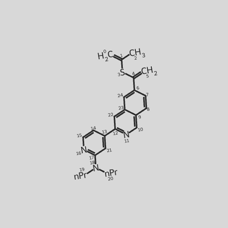 C=C(C)SC(=C)c1ccc2cnc(-c3ccnc(N(CCC)CCC)c3)cc2c1